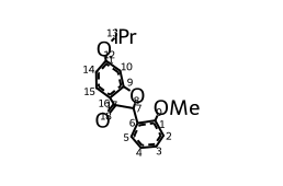 COc1ccccc1C1Oc2cc(OC(C)C)ccc2C1=O